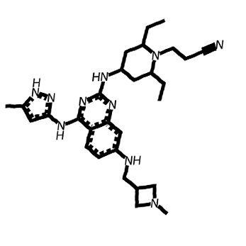 CCC1CC(Nc2nc(Nc3cc(C)[nH]n3)c3ccc(NCC4CN(C)C4)cc3n2)CC(CC)N1CCC#N